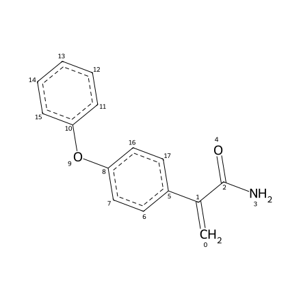 C=C(C(N)=O)c1ccc(Oc2ccccc2)cc1